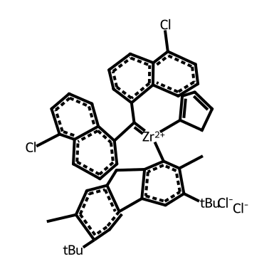 Cc1cc2c(cc1C(C)(C)C)-c1cc(C(C)(C)C)c(C)[c]([Zr+2]([C]3=CC=CC3)=[C](c3cccc4c(Cl)cccc34)c3cccc4c(Cl)cccc34)c1C2.[Cl-].[Cl-]